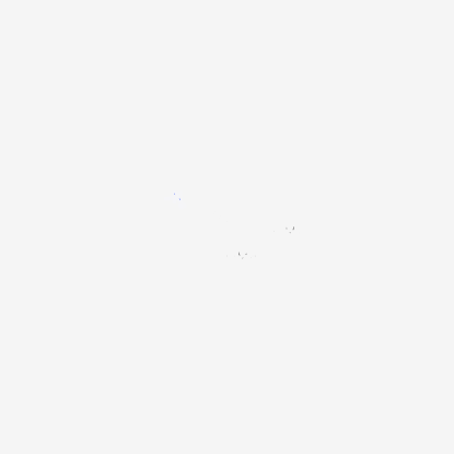 COC=Cc1cc2ncccc2cc1OC